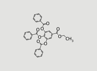 CCOC(=O)c1cc(OC(=O)c2ccccc2)c(OC(=O)c2ccccc2)c(OC(=O)c2ccccc2)c1